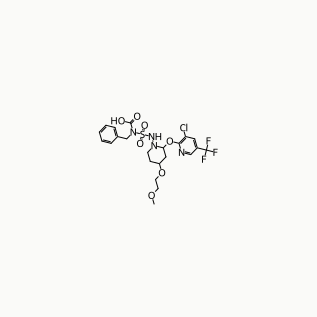 COCCOC1CCN(NS(=O)(=O)N(Cc2ccccc2)C(=O)O)C(Oc2ncc(C(F)(F)F)cc2Cl)C1